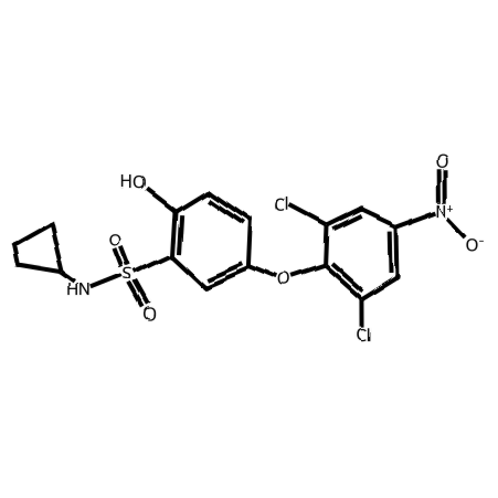 O=[N+]([O-])c1cc(Cl)c(Oc2ccc(O)c(S(=O)(=O)NC3CCC3)c2)c(Cl)c1